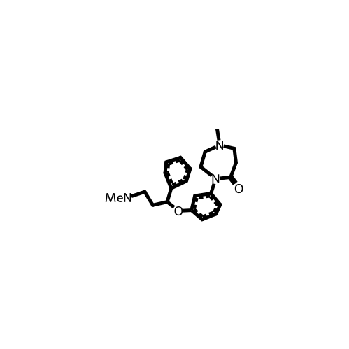 CNCCC(Oc1cccc(N2CCN(C)CCC2=O)c1)c1ccccc1